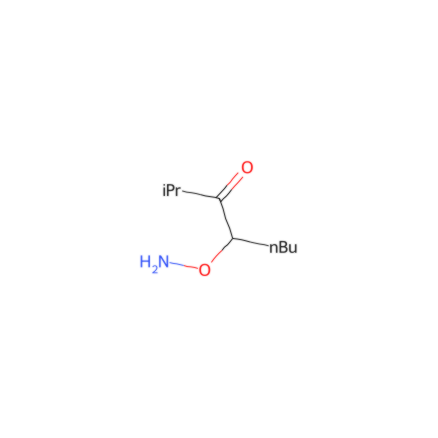 CCCCC(ON)C(=O)C(C)C